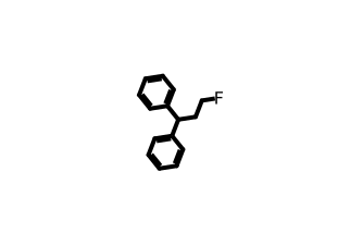 FCCC(c1ccccc1)c1ccccc1